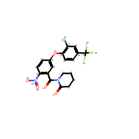 O=C1CCCCN1C(=O)c1cc(Oc2ccc(C(F)(F)F)cc2Cl)ccc1[N+](=O)[O-]